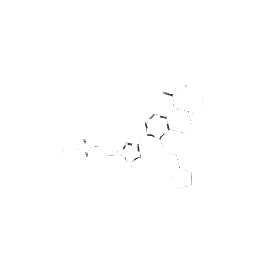 C[C@H]1CCc2c(ccc(-c3cnn(CCS(C)(=O)=O)c3)c2OCC2CCCC2)N1C(=O)O